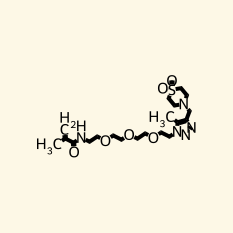 C=C(C)C(=O)NCCOCCOCCOCCn1nnc(CN2CCS(=O)(=O)CC2)c1C